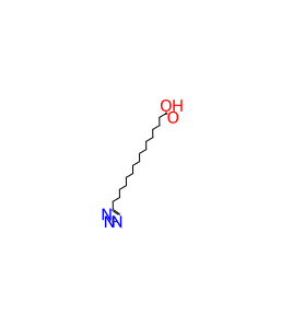 Cn1cc(CCCCCCCCCCCCCCCC(=O)O)nn1